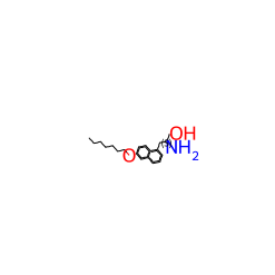 CCCCCCCOc1ccc2c(C[C@H](N)CO)cccc2c1